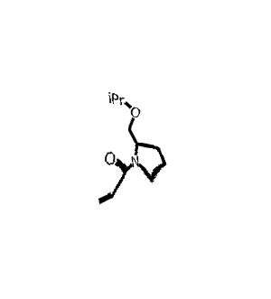 C=CC(=O)N1CCCC1COC(C)C